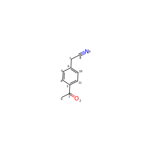 CC(=O)c1ccc(CC#N)cc1